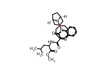 COC(=O)C(CC(C)C)NC(=O)c1nc2ccccc2n([C@H]2C[C@H]3CC[C@@H](C2)N3C2CCCCCCC2)c1=O